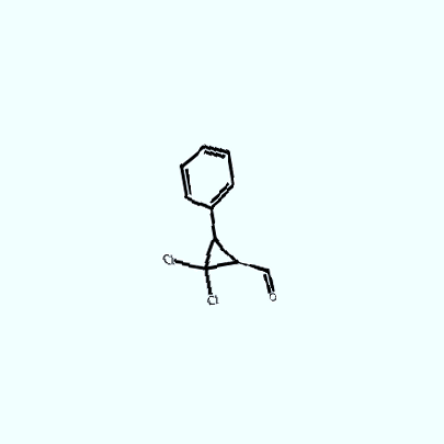 O=C[C@@H]1C(c2ccccc2)C1(Cl)Cl